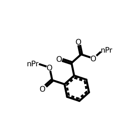 CCCOC(=O)C(=O)c1ccccc1C(=O)OCCC